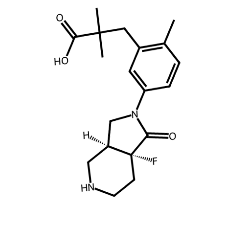 Cc1ccc(N2C[C@@H]3CNCC[C@]3(F)C2=O)cc1CC(C)(C)C(=O)O